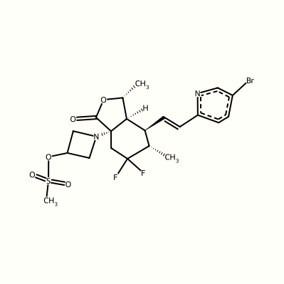 C[C@H]1OC(=O)[C@]2(N3CC(OS(C)(=O)=O)C3)CC(F)(F)[C@@H](C)[C@H](C=Cc3ccc(Br)cn3)[C@H]12